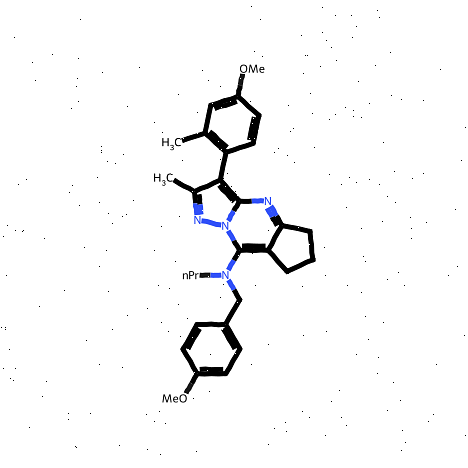 CCCN(Cc1ccc(OC)cc1)c1c2c(nc3c(-c4ccc(OC)cc4C)c(C)nn13)CCC2